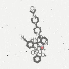 COc1ccccc1S(=O)(=O)N1C(=O)C(NC(=O)N2CCC(C3CCN(C4COC4)CC3)CC2)(c2cccnc2OC)c2cc(C#N)ccc21